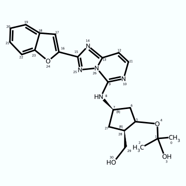 CC(C)(O)OC1C[C@H](Nc2nccc3nc(-c4cc5ccccc5o4)nn23)C[C@@H]1CO